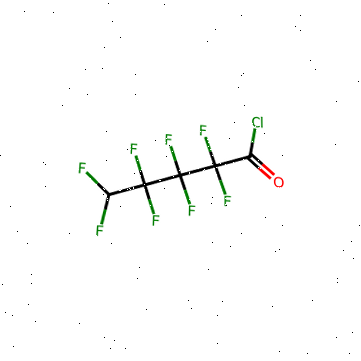 O=C(Cl)C(F)(F)C(F)(F)C(F)(F)C(F)F